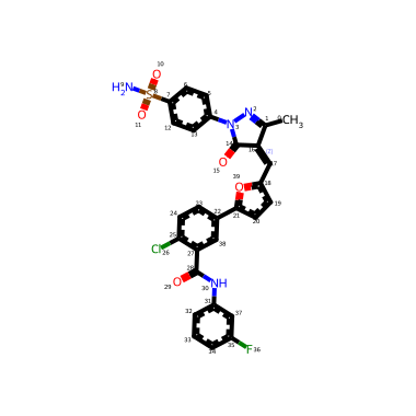 CC1=NN(c2ccc(S(N)(=O)=O)cc2)C(=O)/C1=C\c1ccc(-c2ccc(Cl)c(C(=O)Nc3cccc(F)c3)c2)o1